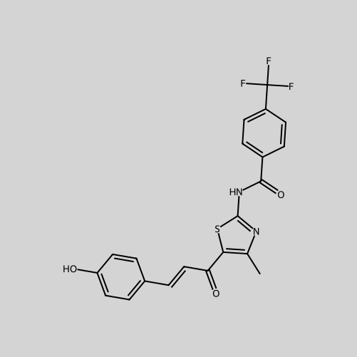 Cc1nc(NC(=O)c2ccc(C(F)(F)F)cc2)sc1C(=O)C=Cc1ccc(O)cc1